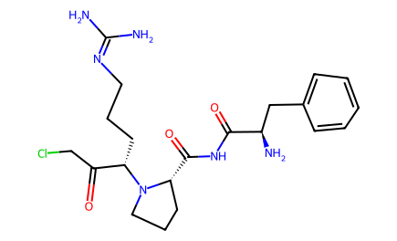 NC(N)=NCCC[C@@H](C(=O)CCl)N1CCC[C@H]1C(=O)NC(=O)[C@H](N)Cc1ccccc1